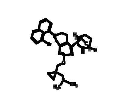 CN(C)CC1(COc2nc3c(c(N4C[C@@H]5CC[C@H]4CN5)n2)CCN(c2cccc4cccc(Br)c24)C3)CC1